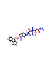 NC(=O)CC(=O)NNC(=O)[C@H](Cc1ccc(NC(=O)OCC2c3ccccc3-c3ccccc32)cc1)NC(=O)O